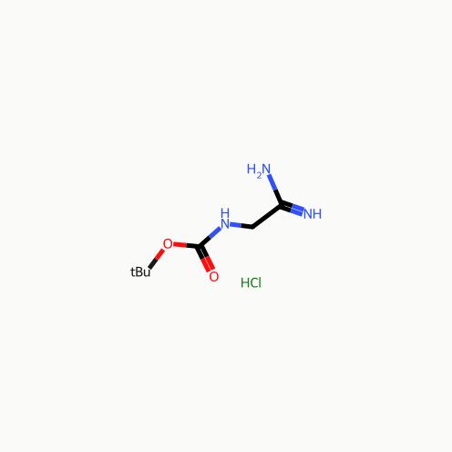 CC(C)(C)OC(=O)NCC(=N)N.Cl